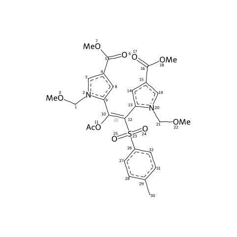 COCn1cc(C(=O)OC)cc1/C(OC(C)=O)=C(\c1cc(C(=O)OC)cn1COC)S(=O)(=O)c1ccc(C)cc1